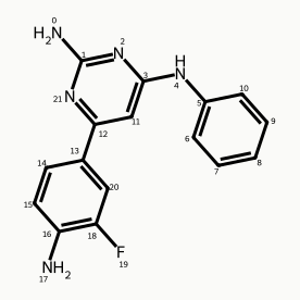 Nc1nc(Nc2ccccc2)cc(-c2ccc(N)c(F)c2)n1